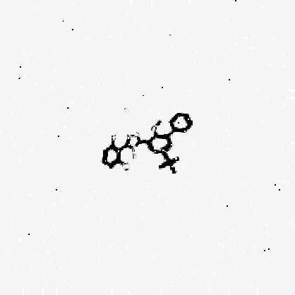 COc1c(-c2ccccc2)cc(C(C)(C)C)cc1C1NC(c2c(Cl)cccc2Cl)=NO1